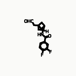 O=CCC12CC(C1)[C@@H](NC(=O)c1ccc(F)c(F)c1)C2